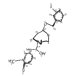 Cn1nc(NC(O)N2CCC(OCc3cccc(F)c3)CC2)ccc1=O